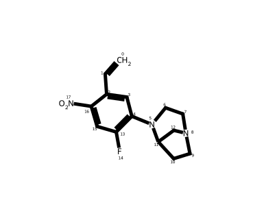 C=Cc1cc(N2CCN3CCC2C3)c(F)cc1[N+](=O)[O-]